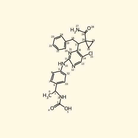 CC(NC(=O)O)c1ccc(Nc2ncc(Cl)c(C(Cc3ccccc3)C3(C(N)=O)CC3)n2)cc1